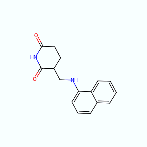 O=C1CCC(CNc2cccc3ccccc23)C(=O)N1